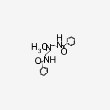 CN(CCNC(=O)c1ccccc1)CCNC(=O)c1ccccc1